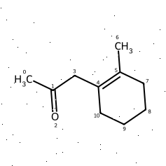 CC(=O)CC1=C(C)CCCC1